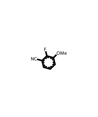 COc1cccc(C#N)c1F